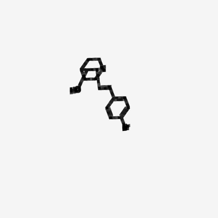 OC1C2CCN(CC2)C1C=Cc1ccc(Br)cc1